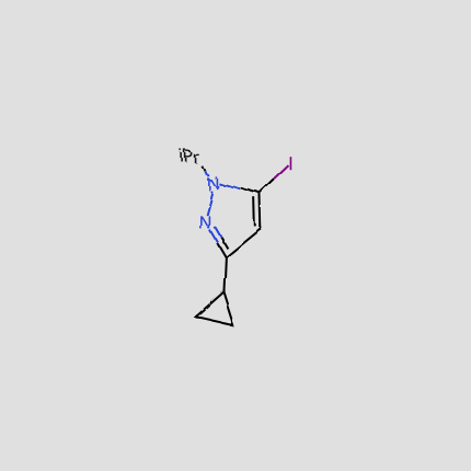 CC(C)n1nc(C2CC2)cc1I